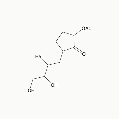 CC(=O)OC1CCC(CC(S)C(O)CO)C1=O